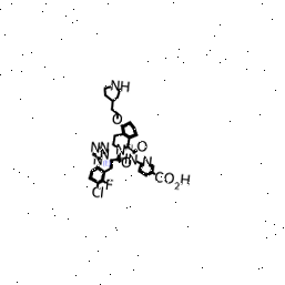 O=C(O)c1ccc(NC(=O)[C@@H]2c3cccc(OCCC4CCNCC4)c3CCN2C(=O)/C=C/c2c(-n3cnnn3)ccc(Cl)c2F)nc1